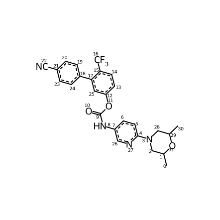 CC1CN(c2ccc(NC(=O)Oc3ccc(C(F)(F)F)c(-c4ccc(C#N)cc4)c3)cn2)CC(C)O1